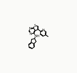 Cc1ccc(-c2csc3ncnc(NC4Cc5ccccc5C4)c23)nc1